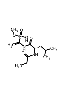 C=C(NC(=O)[C@H](CC(C)C)NC(=O)CN)P(=O)(O)OC